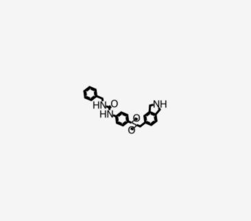 O=C(NCc1ccccc1)Nc1ccc(S(=O)(=O)Cc2ccc3c(c2)CNC3)cc1